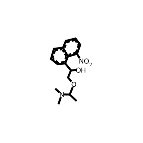 CC(OCC(O)c1cccc2cccc([N+](=O)[O-])c12)N(C)C